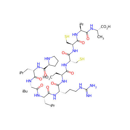 CC[C@H](C)[C@H](NC(=O)[C@H](CC(C)C)NC(=O)[C@@H]1CCCN1)C(=O)N[C@@H](CC(C)C)C(=O)N[C@@H](CCCNC(=N)N)C(=O)N[C@@H](CC(=O)O)C(=O)N[C@@H](CS)C(=O)N[C@@H](CS)C(=O)N[C@H](C(=O)N[C@@H](C)C(=O)O)C(C)C